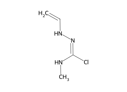 C=CN/N=C(/Cl)NC